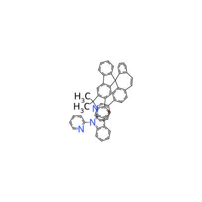 CC1(C)c2ccccc2-c2cc3c(cc21)-c1ccccc1C31c2ccccc2C=Cc2ccc(-c3cnc4c(c3)c3ccccc3n4-c3ccccn3)cc21